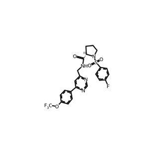 O=C(NCc1cc(-c2ccc(OC(F)(F)F)cc2)ncn1)[C@@H]1CCCN1S(=O)(=O)c1ccc(F)cc1